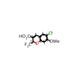 COc1cc2c(cc1Cl)C=C(C(=O)O)C(C(F)(F)F)O2